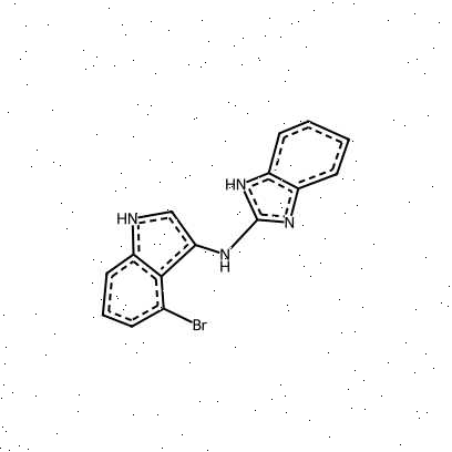 Brc1cccc2[nH]cc(Nc3nc4ccccc4[nH]3)c12